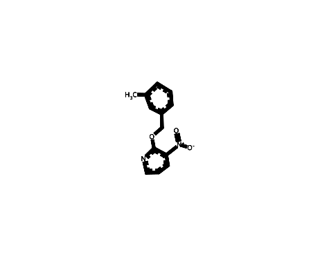 Cc1cccc(COc2ncccc2[N+](=O)[O-])c1